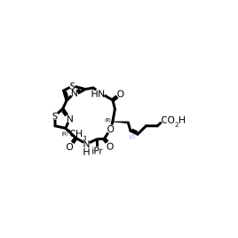 CC(C)C1NC(=O)[C@]2(C)CSC(=N2)c2csc(n2)CNC(=O)C[C@@H](C/C=C\CCC(=O)O)OC1=O